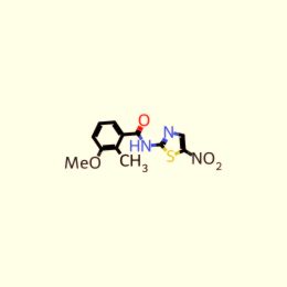 COc1cccc(C(=O)Nc2ncc([N+](=O)[O-])s2)c1C